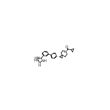 O=C(C1CC1)N1CCC2(CC1)C[C@@H]2c1ccc(-c2cccc(C3NNNN3)c2)cc1